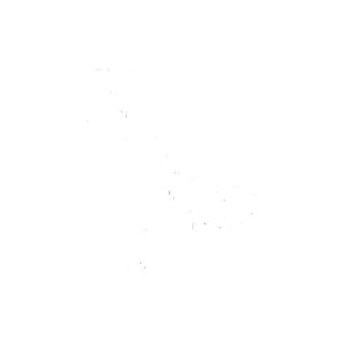 CC1C=CC=C(n2c3ccccc3c3cc(-c4ccc(N(c5ccc(-c6cccnc6)cc5)c5ccc6c(c5)C(C)(C)c5ccccc5-6)cc4)ccc32)C1